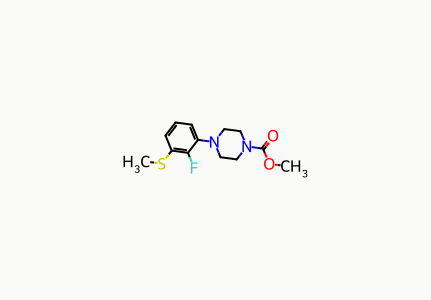 COC(=O)N1CCN(c2cccc(SC)c2F)CC1